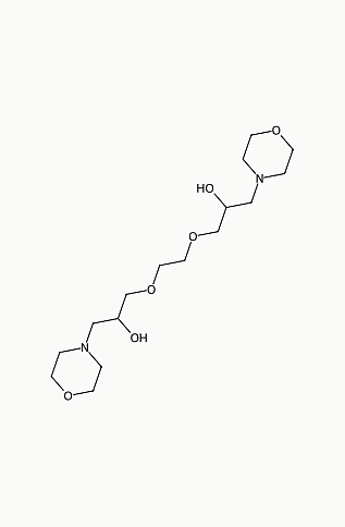 OC(COCCOCC(O)CN1CCOCC1)CN1CCOCC1